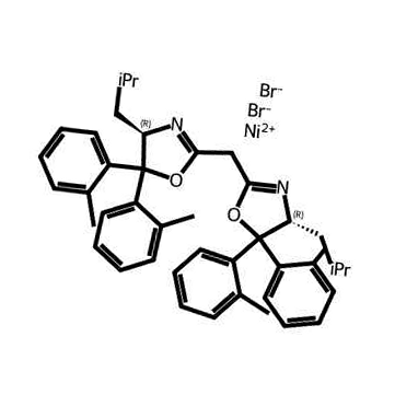 Cc1ccccc1C1(c2ccccc2C)OC(CC2=N[C@H](CC(C)C)C(c3ccccc3C)(c3ccccc3C)O2)=N[C@@H]1CC(C)C.[Br-].[Br-].[Ni+2]